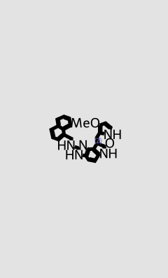 COc1cc[nH]c1/C=C1\C(=O)Nc2ccc3[nH]c(NCc4cccc5ccccc45)nc3c21